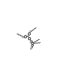 CCCCCCOc1ccc(N(c2ccc(OCCCCCC)cc2)c2ccc(-c3cc4c(s3)-c3sc(C=O)cc3C4(CCCCCC)CCCCCC)cc2)cc1